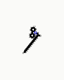 C=C=C=C=C=C=C=C=C=C=C=C(C)Cn1c2ccccc2c2ccccc21